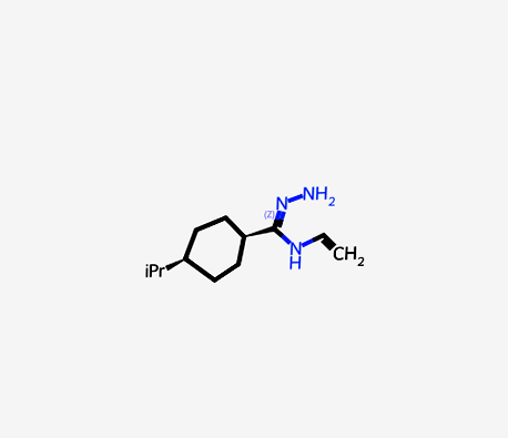 C=CN/C(=N\N)[C@H]1CC[C@@H](C(C)C)CC1